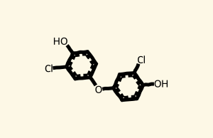 Oc1ccc(Oc2ccc(O)c(Cl)c2)cc1Cl